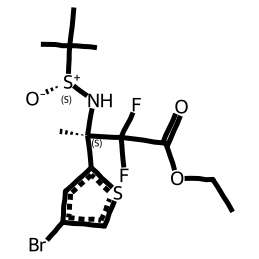 CCOC(=O)C(F)(F)[C@](C)(N[S@+]([O-])C(C)(C)C)c1cc(Br)cs1